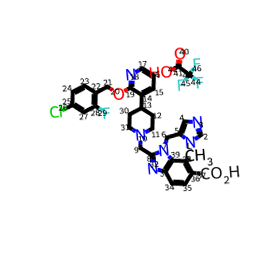 Cn1cncc1Cn1c(CN2CCC(c3cccnc3OCc3ccc(Cl)cc3F)CC2)nc2ccc(C(=O)O)cc21.O=C(O)C(F)(F)F